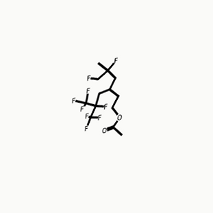 CC(=O)OCCC(CC(C)(F)CF)CC(F)(C(F)(F)F)C(F)(F)F